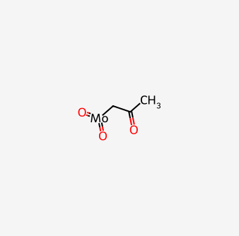 CC(=O)[CH2][Mo](=[O])=[O]